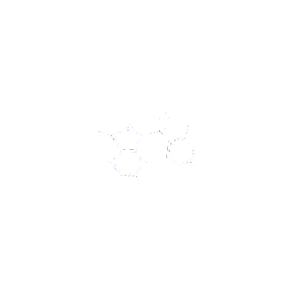 C[C@H](c1cnc(Cl)cc1Cl)n1nc(I)c2ncc(Cl)nc21